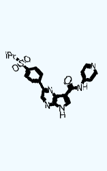 CC(C)S(=O)(=O)c1ccc(-c2cnc3[nH]cc(C(=O)Nc4ccncc4)c3n2)cc1